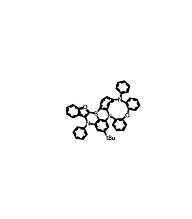 CC(C)(C)c1cc2c3c(c1)N(c1ccccc1)c1c(oc4ccccc14)B3c1ccc3cc1N2c1ccccc1Oc1ccccc1N3c1ccccc1